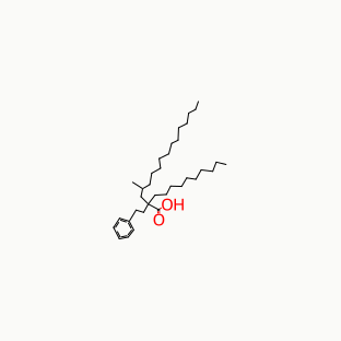 CCCCCCCCCCCCC(C)CC(CCCCCCCCCC)(CCc1ccccc1)C(=O)O